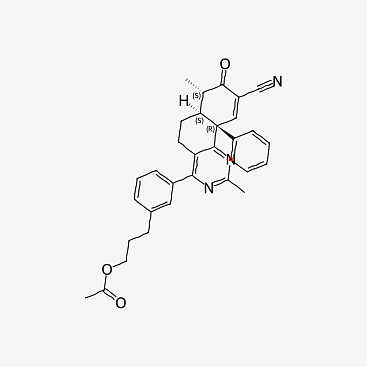 CC(=O)OCCCc1cccc(-c2nc(C)nc3c2CC[C@H]2[C@H](C)C(=O)C(C#N)=C[C@]32c2ccccc2)c1